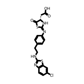 O=C(O)C[C@@H]1N/C(=N/c2ccc(CCNc3nc4ccc(Cl)cc4s3)cc2)SC1=O